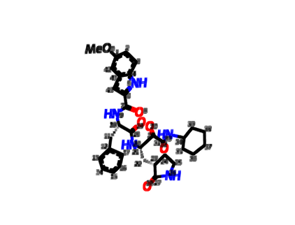 COc1ccc2[nH]c(C(=O)N[C@@H](Cc3ccccc3)C(=O)N[C@@H](C[C@@H]3CCNC3=O)C(=O)C(=O)NC3CCCCC3)cc2c1